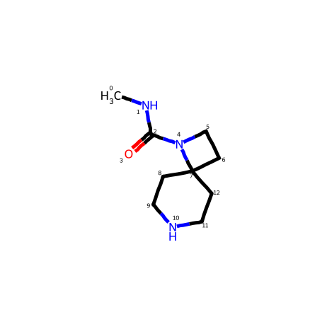 CNC(=O)N1CCC12CCNCC2